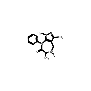 Cc1nn(C)c2c1C[NH+]([O-])C(C)C(=O)N2c1ccccc1